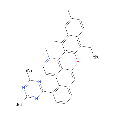 Cc1ccc2c(CC(C)(C)C)c3c(c(C)c2c1)-c1c2c(cc4cccc(-c5nc(C(C)(C)C)nc(C(C)(C)C)n5)c4c2cc[n+]1C)O3